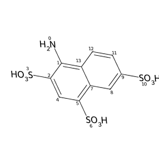 Nc1c(S(=O)(=O)O)cc(S(=O)(=O)O)c2cc(S(=O)(=O)O)ccc12